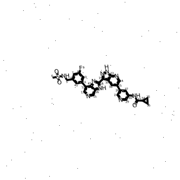 CS(=O)(=O)NCc1cc(F)cc(-c2cncc3[nH]c(-c4n[nH]c5ncc(-c6cncc(NC(=O)C7CC7)c6)cc45)nc23)c1